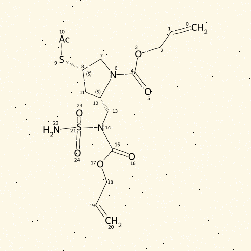 C=CCOC(=O)N1C[C@@H](SC(C)=O)C[C@H]1CN(C(=O)OCC=C)S(N)(=O)=O